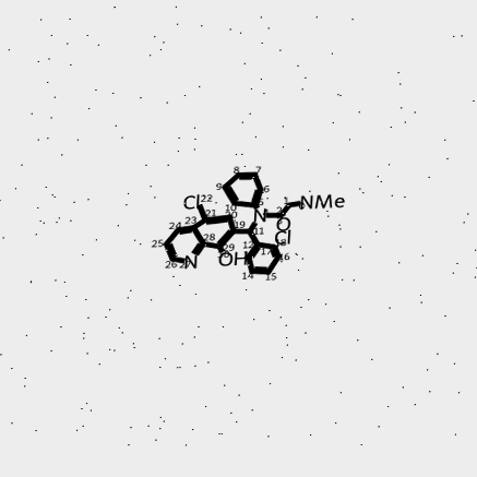 CNCC(=O)N(c1ccccc1)C(c1ccccc1Cl)c1cc(Cl)c2cccnc2c1O